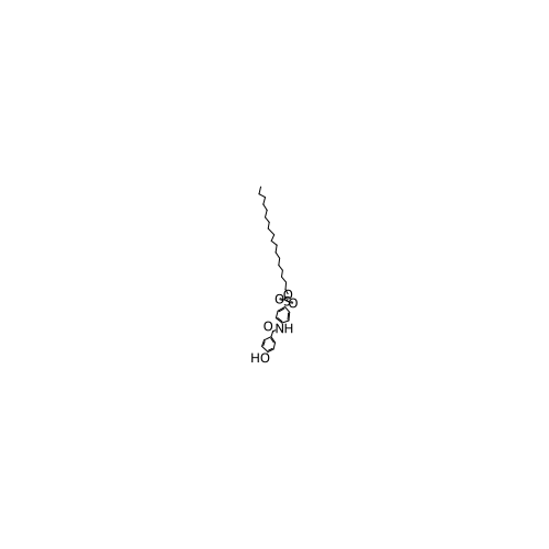 CCCCCCCCCCCCCCCCCCOS(=O)(=O)c1ccc(NC(=O)c2ccc(O)cc2)cc1